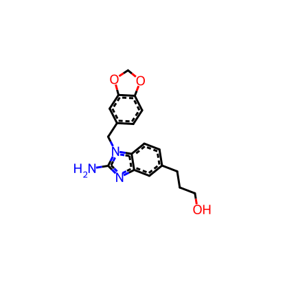 Nc1nc2cc(CCCO)ccc2n1Cc1ccc2c(c1)OCO2